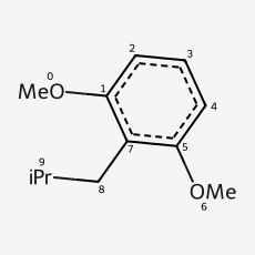 COc1cccc(OC)c1CC(C)C